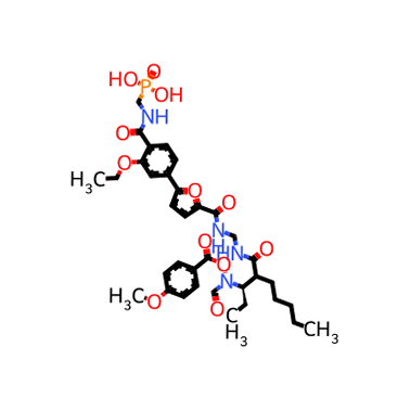 CCCCCC(C(=O)NCNC(=O)c1ccc(-c2ccc(C(=O)NCP(=O)(O)O)c(OCC)c2)o1)[C@@H](CC)N(C=O)OC(=O)c1ccc(OC)cc1